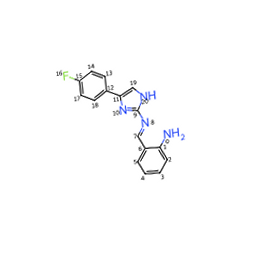 Nc1ccccc1C=Nc1nc(-c2ccc(F)cc2)c[nH]1